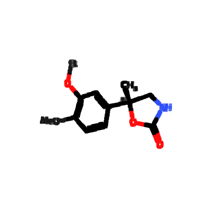 CCOc1cc([C@]2(C)CNC(=O)O2)ccc1OC